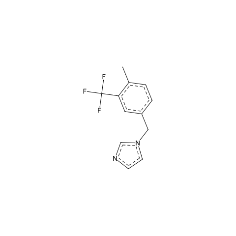 Cc1ccc(Cn2ccnc2)cc1C(F)(F)F